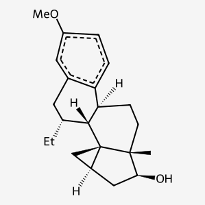 CC[C@@H]1Cc2cc(OC)ccc2[C@H]2CC[C@]3(C)[C@@H](O)C[C@H]4C[C@]43[C@H]12